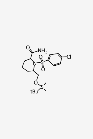 CC(C)(C)[Si](C)(C)OCC1CCCC(C(N)=O)N1S(=O)(=O)c1ccc(Cl)cc1